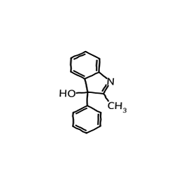 CC1=Nc2ccccc2C1(O)c1ccccc1